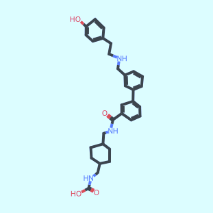 O=C(O)NCC1CCC(CNC(=O)c2cccc(-c3cccc(CNCCc4ccc(O)cc4)c3)c2)CC1